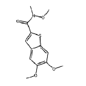 COc1cc2cc(C(=O)N(C)OC)sc2cc1OC